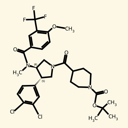 COc1ccc(C(=O)N(C)[C@H]2CN(C(=O)C3CCN(C(=O)OC(C)(C)C)CC3)C[C@@H]2c2ccc(Cl)c(Cl)c2)cc1C(F)(F)F